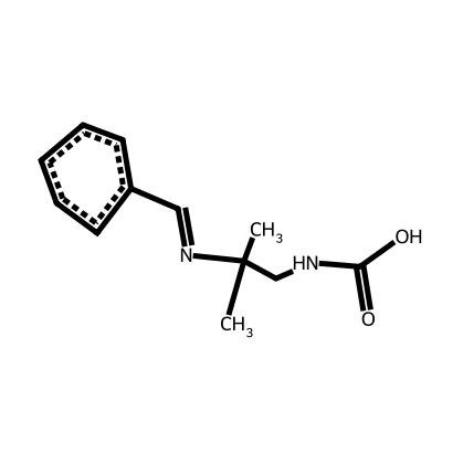 CC(C)(CNC(=O)O)/N=C/c1ccccc1